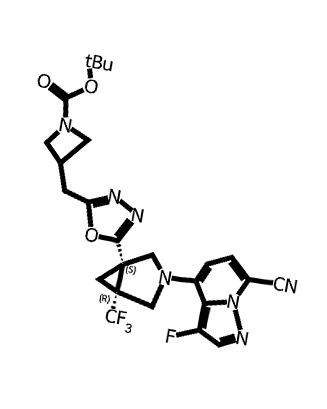 CC(C)(C)OC(=O)N1CC(Cc2nnc([C@]34CN(c5ccc(C#N)n6ncc(F)c56)C[C@@]3(C(F)(F)F)C4)o2)C1